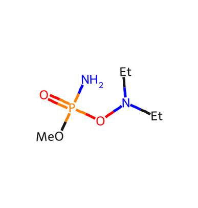 CCN(CC)OP(N)(=O)OC